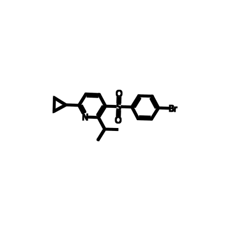 CC(C)c1nc(C2CC2)ccc1S(=O)(=O)c1ccc(Br)cc1